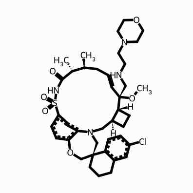 CO[C@@]1(CNCCN2CCOCC2)/C=C/C[C@H](C)[C@@H](C)C(=O)NS(=O)(=O)c2ccc3c(c2)N(C[C@@H]2CC[C@H]21)C[C@@]1(CCCc2cc(Cl)ccc21)CO3